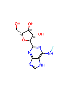 OC[C@H]1OC(c2nc(NF)c3[nH]cnc3n2)[C@@H](O)[C@@H]1O